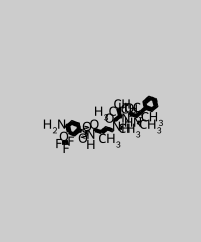 CN[C@H](C(=O)NC(C(=O)N(C)C/C=C(\C)C(=O)NS(=O)(=O)c1ccc(N)c(OC(F)(F)F)c1)C(C)(C)C)C(C)(C)c1ccccc1